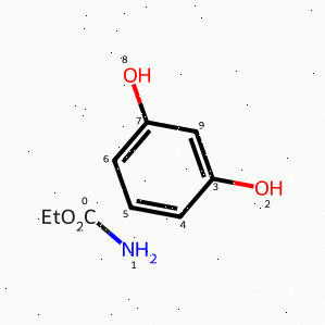 CCOC(N)=O.Oc1cccc(O)c1